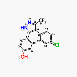 Oc1ccc(-c2[nH]nc(C(F)(F)F)c2-c2ccc(Cl)cc2)cc1